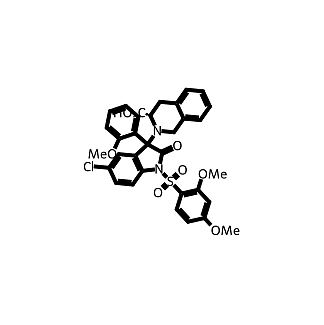 COc1ccc(S(=O)(=O)N2C(=O)C(c3ccccc3OC)(N3Cc4ccccc4C[C@H]3C(=O)O)c3cc(Cl)ccc32)c(OC)c1